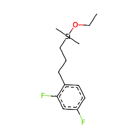 CCO[Si](C)(C)CCCc1ccc(F)cc1F